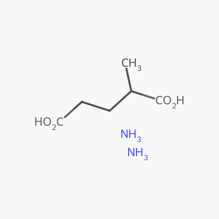 CC(CCC(=O)O)C(=O)O.N.N